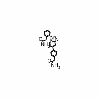 NC(=O)Cc1ccc(C2=CC3=NCN(c4ccccc4CC(N)=O)N3C=C2)cc1